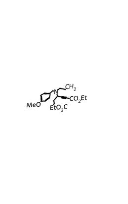 C=CCN(Cc1ccc(OC)cc1)C(C#CC(=O)OCC)CCC(=O)OCC